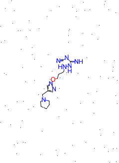 CN(C#N)C(=N)NNCCCOn1cc(CN2CCCCC2)cn1